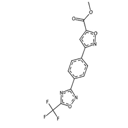 COC(=O)c1cc(-c2ccc(-c3noc(C(F)(F)F)n3)cc2)no1